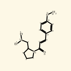 CCN(CC)CC1CCCN1C(=O)C=Cc1ccc(OC(F)(F)F)cc1